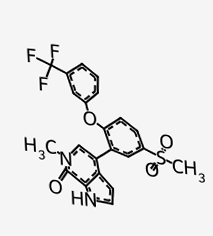 Cn1cc(-c2cc(S(C)(=O)=O)ccc2Oc2cccc(C(F)(F)F)c2)c2cc[nH]c2c1=O